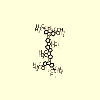 CC(C)(C)c1ccc2c(c1)c1cc(C(C)(C)C)ccc1n2-c1ccc2c(c1)C(C)(C)c1c-2ccc2c3c(ccc12)-c1ccc(-n2c4ccc(C(C)(C)C)cc4c4cc(C(C)(C)C)ccc42)cc1C3(C)C